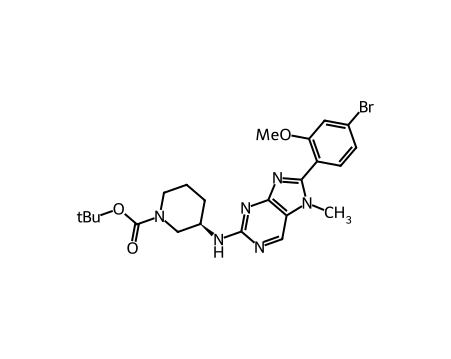 COc1cc(Br)ccc1-c1nc2nc(N[C@@H]3CCCN(C(=O)OC(C)(C)C)C3)ncc2n1C